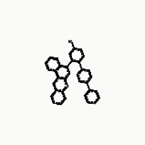 N#Cc1ccc(-c2ccc(-c3ccccc3)cc2)c(-c2cc3nc4ccccc4cc3c3ccccc23)c1